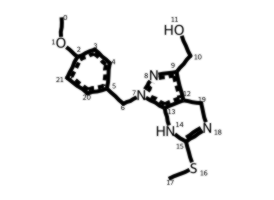 COc1ccc(Cn2nc(CO)c3c2NC(SC)=NC3)cc1